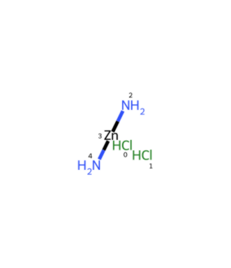 Cl.Cl.[NH2][Zn][NH2]